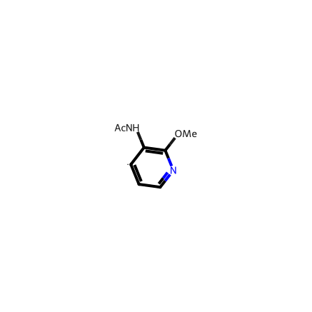 COc1ncc[c]c1NC(C)=O